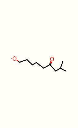 CC(C)CC(=O)CCCCC[O]